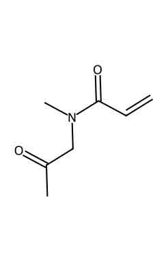 C=CC(=O)N(C)CC(C)=O